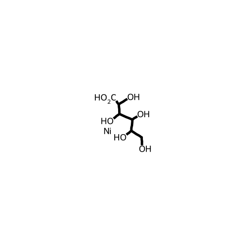 O=C(O)C(O)C(O)C(O)C(O)CO.[Ni]